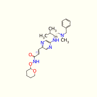 CC(C)[C@H](CN(C)Cc1ccccc1)Nc1cnc(/C=C/C(=O)NOC2CCCCO2)cn1